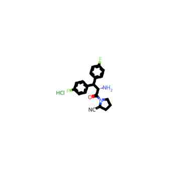 Cl.N#CC1CCCN1C(=O)[C@@H](N)C(c1ccc(F)cc1)c1ccc(F)cc1